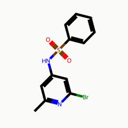 Cc1cc(NS(=O)(=O)c2cc[c]cc2)cc(Br)n1